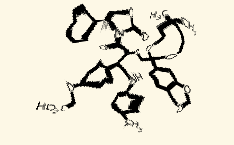 Cc1ccc(NC(c2ccc(OCC(=O)O)cc2)C(SCC2(c3ccc4c(c3)OCO4)OCC(C)(C)CO2)C(=O)N2C(=O)OC[C@@H]2c2ccccc2)cc1